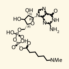 CNCCCCCC(=O)OP(=O)(O)OP(=O)(O)OC[C@H]1O[C@@H](n2cnc3c(=O)[nH]c(N)nc32)[C@@H](O)C1O